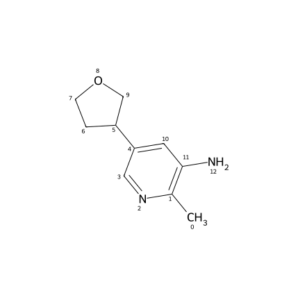 Cc1ncc(C2CCOC2)cc1N